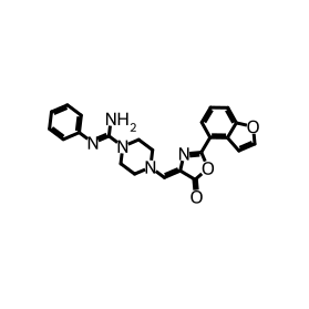 NC(=Nc1ccccc1)N1CCN(C=C2N=C(c3cccc4occc34)OC2=O)CC1